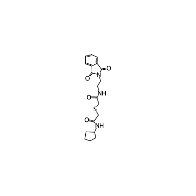 O=C(CSCC(=O)NC1CCCC1)NCCN1C(=O)c2ccccc2C1=O